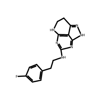 Fc1ccc(CCNc2nc3c4c(n[nH]c4n2)CCN3)cc1